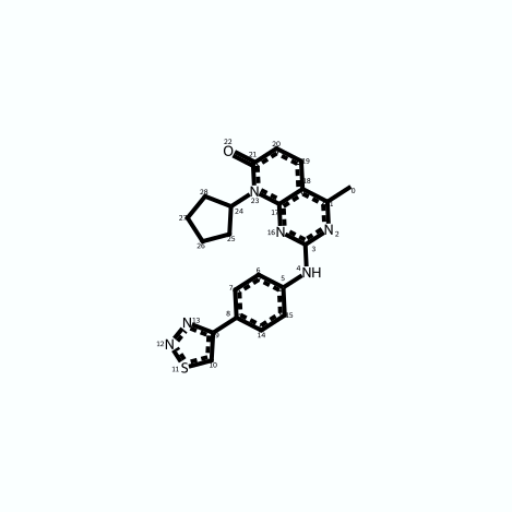 Cc1nc(Nc2ccc(-c3csnn3)cc2)nc2c1ccc(=O)n2C1CCCC1